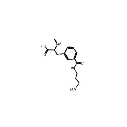 CNC(Cc1cccc(C(=O)NCCCN)c1)C(=O)O